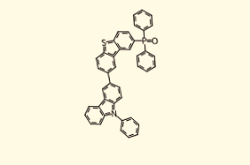 O=P(c1ccccc1)(c1ccccc1)c1ccc2sc3ccc(-c4ccc5c(c4)c4ccccc4n5-c4ccccc4)cc3c2c1